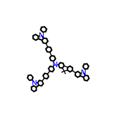 CC1(C)c2cc(-c3ccc4c5ccccc5n(-c5ccccc5)c4c3)ccc2-c2ccc(N(c3ccc(-c4ccc(-c5ccc6c(c5)c5ccccc5n6-c5ccccc5)cc4)cc3)c3ccc(-c4ccc(-c5ccc6c7ccccc7n(-c7ccccc7)c6c5)cc4)cc3)cc21